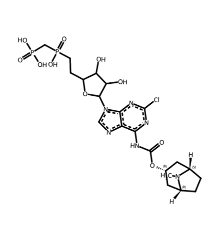 CN1[C@@H]2CC[C@H]1C[C@@H](OC(=O)Nc1nc(Cl)nc3c1ncn3C1OC(CCP(=O)(O)CP(=O)(O)O)C(O)C1O)C2